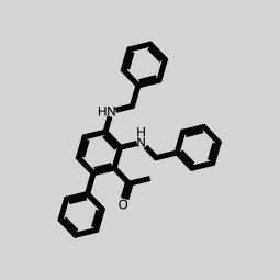 CC(=O)c1c(-c2ccccc2)ccc(NCc2ccccc2)c1NCc1ccccc1